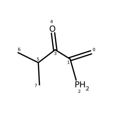 C=C(P)C(=O)C(C)C